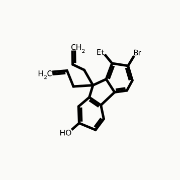 C=CCC1(CC=C)c2cc(O)ccc2-c2ccc(Br)c(CC)c21